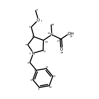 COCC1CN(Cc2ccccc2)CC1N(C)C(=O)O